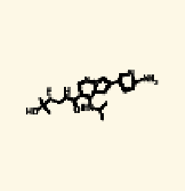 CC(C)Nc1c(C(=O)NC[C@@H](F)C(C)(C)O)cnn2cc(-c3ccc(N)nc3)cc12